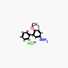 COc1ccc(N)cc1-c1ccccc1.Cl